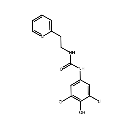 O=C(NCCc1ccccn1)Nc1cc(Cl)c(O)c(Cl)c1